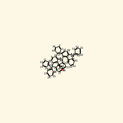 c1ccc(-c2ccc([Si](c3ccccc3)(c3ccccc3)c3ccccc3)c3c4ccccc4n(-c4cccc5c4c4ccccc4n5-c4ccccc4)c23)cc1